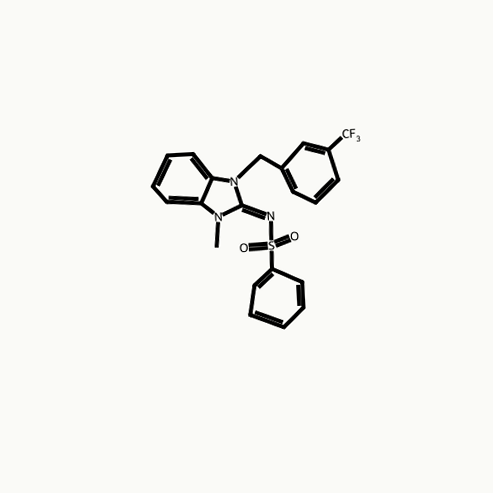 Cn1c(=NS(=O)(=O)c2ccccc2)n(Cc2cccc(C(F)(F)F)c2)c2ccccc21